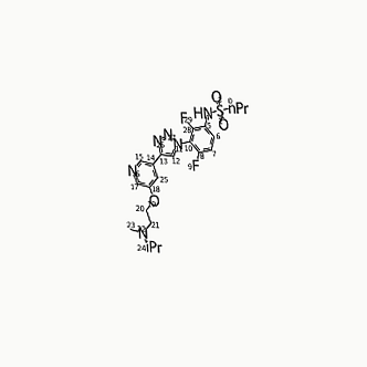 CCCS(=O)(=O)Nc1ccc(F)c(-n2cc(-c3cncc(OCCN(C)C(C)C)c3)nn2)c1F